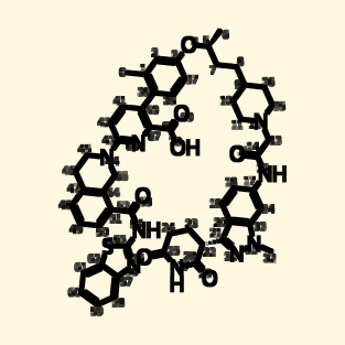 Cc1cc(O[C@@H](C)CCC2CCN(CC(=O)Nc3ccc4c([C@H]5CCC(=O)NC5=O)nn(C)c4c3)CC2)ccc1-c1ccc(N2CCc3cccc(C(=O)Nc4nc5ccccc5s4)c3C2)nc1C(=O)O